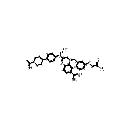 CC(=N)N1CCC(c2ccc(NC(=O)CN(Cc3cccc(OCC(N)=O)c3)c3cccc(C(=N)N)c3)cc2)CC1.Cl.Cl